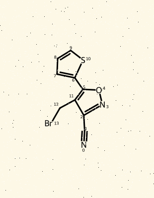 N#Cc1noc(-c2cccs2)c1CBr